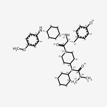 COc1ccc(N[C@H]2CC[C@@H](N[C@H](Cc3ccc(Cl)cc3)C(=O)N3CCC(N(C(=O)N(C)C)C4CCCCC4)CC3)CC2)cc1